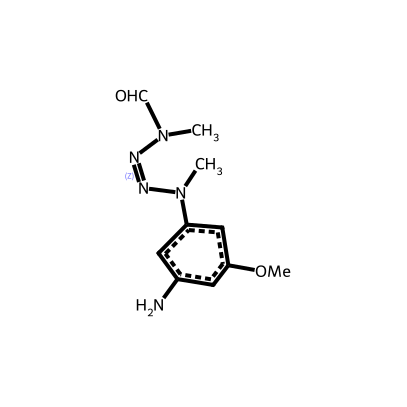 COc1cc(N)cc(N(C)/N=N\N(C)C=O)c1